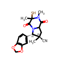 CN1C(=O)C2C[C@@](C)(C#N)[C@H](c3ccc4c(c3)OCO4)N2C(=O)C1(C)S